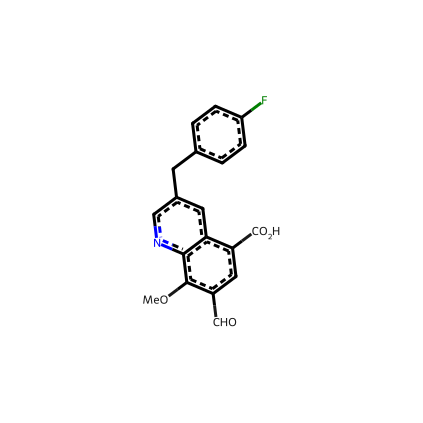 COc1c(C=O)cc(C(=O)O)c2cc(Cc3ccc(F)cc3)cnc12